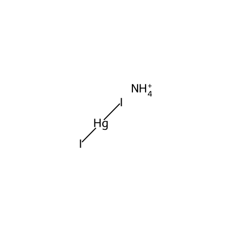 [I][Hg][I].[NH4+]